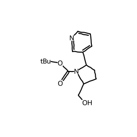 CC(C)(C)OC(=O)N1C(CO)CCC1c1cccnc1